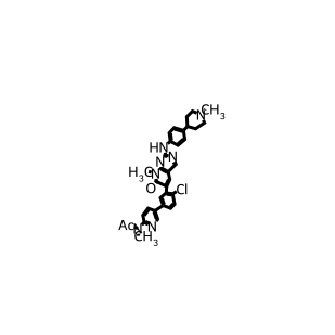 CC(=O)N(C)c1ccc(-c2ccc(Cl)c(-c3cc4cnc(Nc5ccc(C6CCN(C)CC6)cc5)nc4n(C)c3=O)c2)cn1